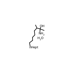 CCCCCCCCCCCCC(C)C(C)(N)O.O